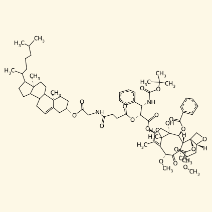 CO[C@H]1C(=O)[C@]2(C)[C@@H](OC)C[C@H]3OC[C@@]3(OC(C)=O)[C@H]2[C@H](OC(=O)c2ccccc2)[C@]2(O)C[C@H](OC(=O)[C@H](OC(=O)CCC(=O)NCC(=O)O[C@H]3CC[C@@]4(C)C(=CCC5C6CCC(C(C)CCCC(C)C)[C@@]6(C)CCC54)C3)[C@@H](NC(=O)OC(C)(C)C)c3ccccc3)C(C)=C1C2(C)C